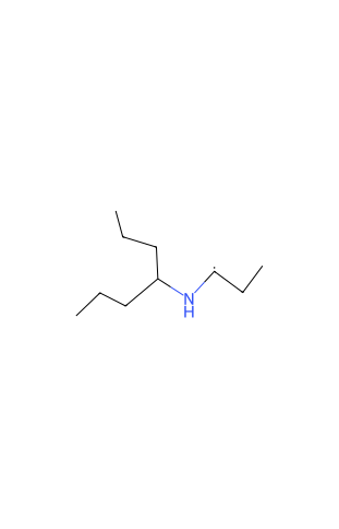 CC[CH]NC(CCC)CCC